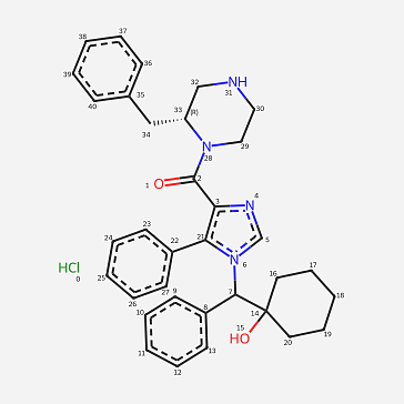 Cl.O=C(c1ncn(C(c2ccccc2)C2(O)CCCCC2)c1-c1ccccc1)N1CCNC[C@H]1Cc1ccccc1